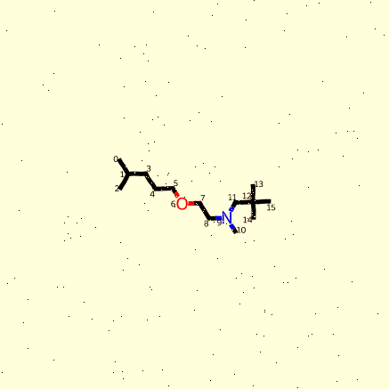 CC(C)CCCOCCN(C)CC(C)(C)C